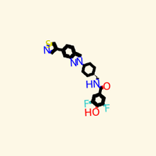 O=C(NC[C@H]1CC[C@H](n2cc3ccc(-c4cnsc4)cc3n2)CC1)c1cc(F)c(O)c(F)c1